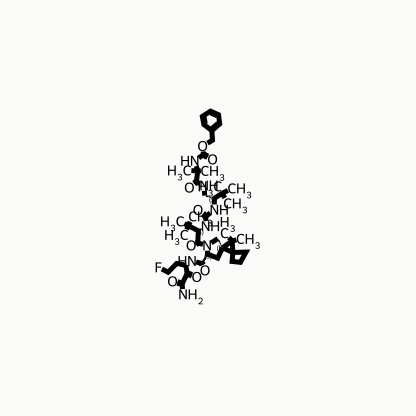 CC(C)(NC(=O)OCc1ccccc1)C(=O)NC[C@@H](NC(=O)N[C@H](C(=O)N1C[C@]2(C[C@H]1C(=O)NC(CCF)C(=O)C(N)=O)C(C)(C)C21CCC1)C(C)(C)C)C(C)(C)C